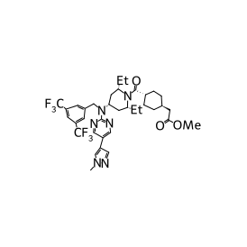 CC[C@@H]1C[C@H](N(Cc2cc(C(F)(F)F)cc(C(F)(F)F)c2)c2ncc(-c3cnn(C)c3)cn2)C[C@H](CC)N1C(=O)[C@H]1CC[C@H](CC(=O)OC)CC1